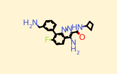 NCc1cccc(-c2c(F)ccc3c(N)c(C(=O)NC4CCC4)nnc23)c1